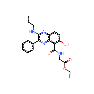 CCCNc1nc2ccc(O)c(C(=O)NCC(=O)OCC)c2nc1-c1ccccc1